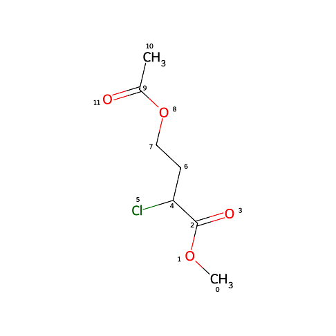 COC(=O)C(Cl)CCOC(C)=O